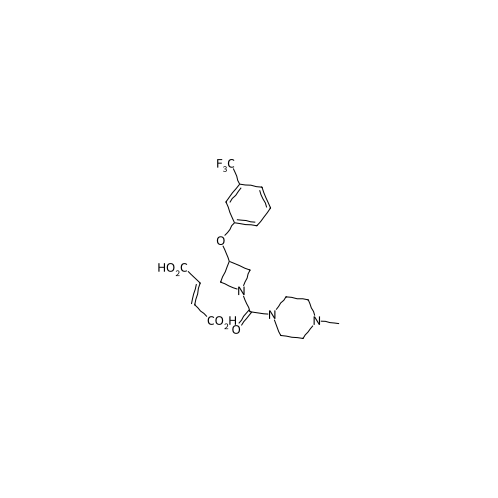 CN1CCN(C(=O)N2CC(Oc3cccc(C(F)(F)F)c3)C2)CC1.O=C(O)C=CC(=O)O